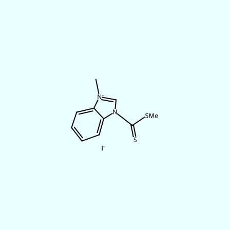 CSC(=S)n1c[n+](C)c2ccccc21.[I-]